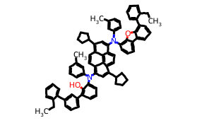 CCc1ccccc1-c1cccc(-c2cccc(N(c3cccc(C)c3)c3cc(C4CCCC4)c4ccc5c(N(c6cccc(C)c6)c6cccc7c6oc6c(-c8ccccc8CC)cccc67)cc(C6CCCC6)c6ccc3c4c65)c2O)c1